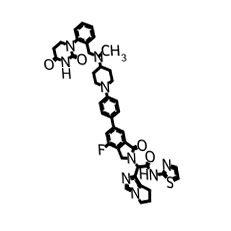 CN(Cc1ccccc1N1CCC(=O)NC1=O)C1CCN(c2ccc(-c3cc(F)c4c(c3)C(=O)N(C(C(=O)Nc3nccs3)c3ncn5c3CCC5)C4)cc2)CC1